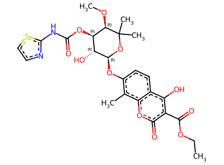 CCOC(=O)c1c(O)c2ccc(O[C@@H]3OC(C)(C)[C@H](OC)[C@H](OC(=O)Nc4nccs4)[C@H]3O)c(C)c2oc1=O